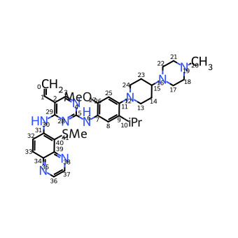 C=Cc1cnc(Nc2cc(C(C)C)c(N3CCC(N4CCN(C)CC4)CC3)cc2OC)nc1Nc1ccc2nccnc2c1SC